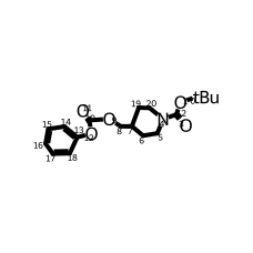 CC(C)(C)OC(=O)N1CCC(COC(=O)Oc2ccccc2)CC1